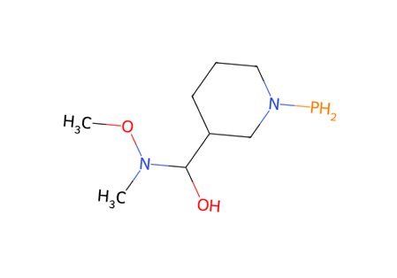 CON(C)C(O)C1CCCN(P)C1